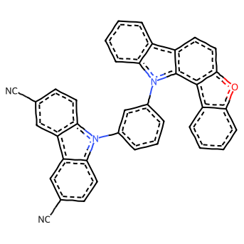 N#Cc1ccc2c(c1)c1cc(C#N)ccc1n2-c1cccc(-n2c3ccccc3c3ccc4oc5ccccc5c4c32)c1